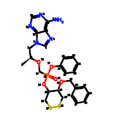 C[C@H](Cn1cnc2c(N)ncnc21)OCP(=O)(Oc1ccccc1)OC1CSSC[C@@H]1OCc1ccccc1